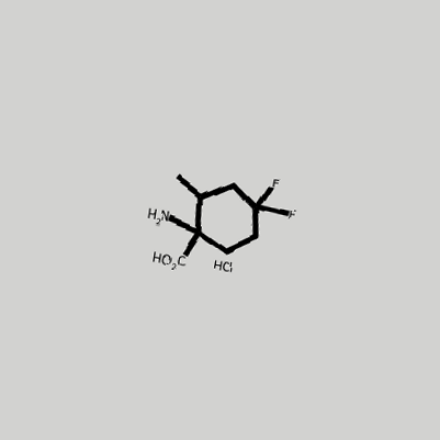 CC1CC(F)(F)CCC1(N)C(=O)O.Cl